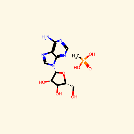 CP(=O)(O)O.Nc1ncnc2c1ncn2[C@@H]1O[C@H](CO)[C@@H](O)[C@H]1O